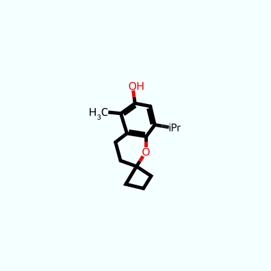 Cc1c(O)cc(C(C)C)c2c1CCC1(CCC1)O2